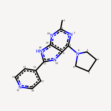 Cc1nc(N2CCCC2)c2nc(-c3ccncc3)[nH]c2n1